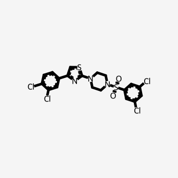 O=S(=O)(c1cc(Cl)cc(Cl)c1)N1CCN(c2nc(-c3ccc(Cl)c(Cl)c3)cs2)CC1